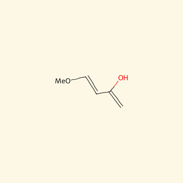 C=C(O)/C=C/OC